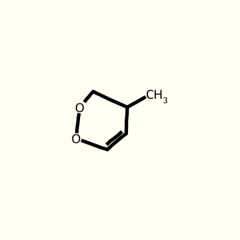 CC1C=COOC1